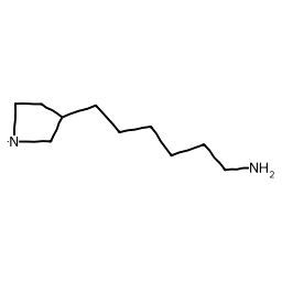 NCCCCCCC1CC[N]C1